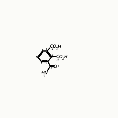 [NH]C(=O)c1cccc(C(=O)O)c1C(=O)O